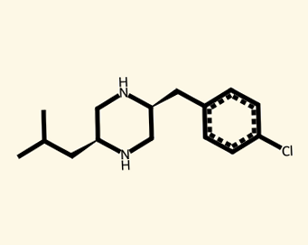 CC(C)C[C@H]1CN[C@@H](Cc2ccc(Cl)cc2)CN1